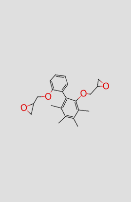 Cc1c(C)c(C)c(-c2ccccc2OCC2CO2)c(OCC2CO2)c1C